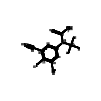 CC(C)(C)N(C(=O)O)c1cc(Br)c(I)c(C#N)c1